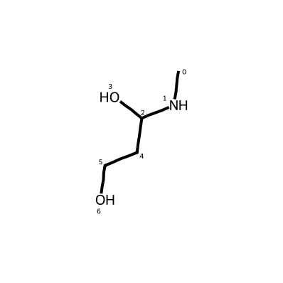 CNC(O)CCO